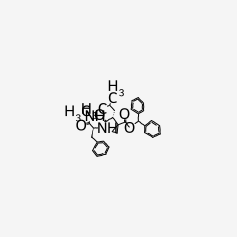 CNC(=O)[C@H](Cc1ccccc1)NC(=O)[C@H](CC(C)C)C1(C(=O)OC(c2ccccc2)c2ccccc2)CC1